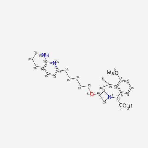 COc1cccc(C(C(=O)O)N2CC(OCCCCCc3ccc4c(n3)NCCC4)C2)c1C1CC1